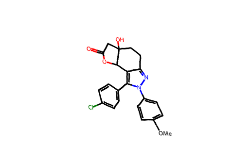 COc1ccc(-n2nc3c(c2-c2ccc(Cl)cc2)C2OC(=O)CC2(O)CC3)cc1